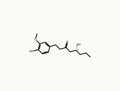 CCC[C@@H](O)CC(=O)CCc1ccc(O)c(OC)c1